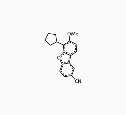 COc1ccc2c(oc3ccc(C#N)cc32)c1C1CCCC1